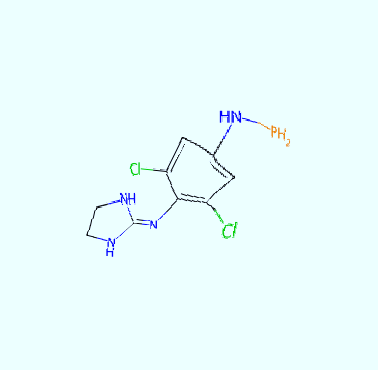 PNc1cc(Cl)c(N=C2NCCN2)c(Cl)c1